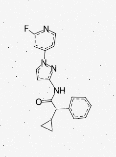 O=C(Nc1ccn(-c2ccnc(F)c2)n1)C(c1ccccc1)C1CC1